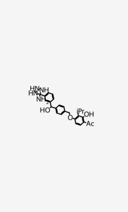 CC(=O)c1ccc(OCc2ccc(C(O)c3cccc(C4(N)NNN4)c3)cc2)c(C(C)C)c1O